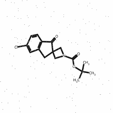 CC(C)(C)OC(=O)N1CC2(Cc3cc(Cl)ccc3C2=O)C1